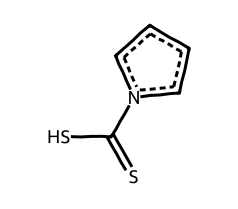 S=C(S)n1cccc1